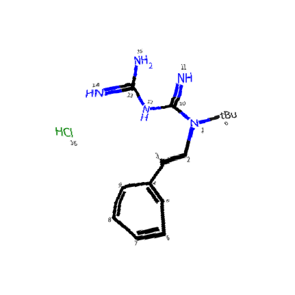 CC(C)(C)N(CCc1ccccc1)C(=N)NC(=N)N.Cl